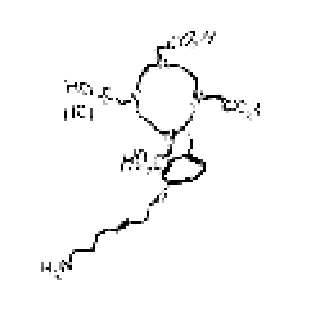 Cl.NCCCCCCCOc1ccc(C[C@H]2CN(CC(=O)O)CCN(CC(=O)O)CCN(CC(=O)O)CCN2CC(=O)O)cc1